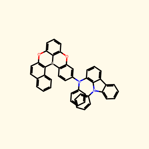 c1ccc(N(c2ccc3c(c2)Oc2cccc4c2B3c2c(ccc3ccccc23)O4)c2cccc3c4ccccc4n(-c4ccccc4)c23)cc1